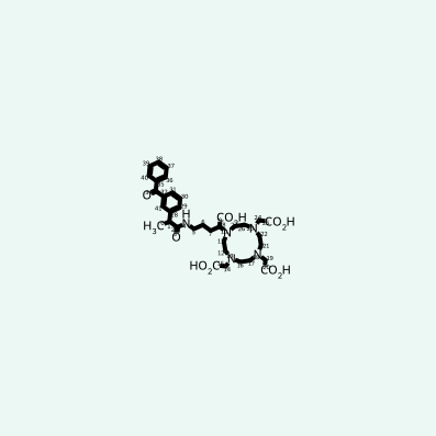 CC(C(=O)NCCCC(C(=O)O)N1CCN(CC(=O)O)CCN(CC(=O)O)CCN(CC(=O)O)CC1)c1cccc(C(=O)c2ccccc2)c1